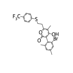 Cc1cc(C)c(-c2c(O)c(C)c(CCSc3ccc(C(F)(F)F)cc3)oc2=O)c(Br)c1